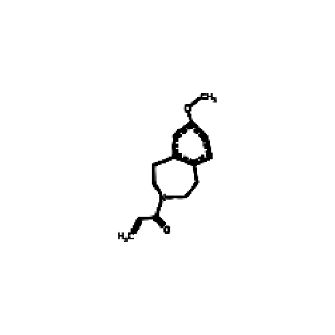 C=CC(=O)N1CCc2ccc(OC)cc2CC1